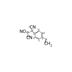 C=Cc1ccc(C(C#N)C(C#N)C#N)cc1